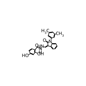 Cc1cc(C)cc(N2C(=O)C(=CNNC(=O)c3ccc(O)cc3O)c3ccccc32)c1